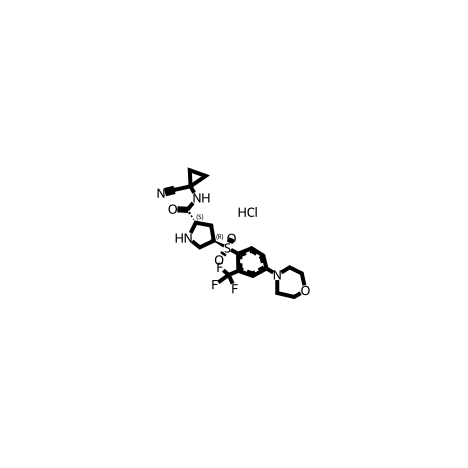 Cl.N#CC1(NC(=O)[C@@H]2C[C@@H](S(=O)(=O)c3ccc(N4CCOCC4)cc3C(F)(F)F)CN2)CC1